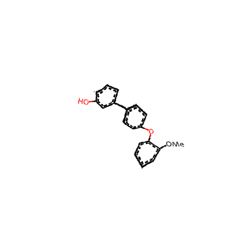 COc1ccccc1Oc1ccc(-c2cc[c]c(O)c2)cc1